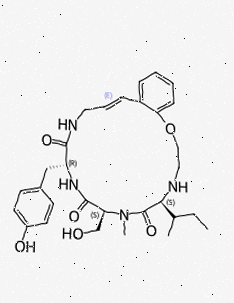 CCC(C)[C@@H]1NCCOc2ccccc2/C=C/CNC(=O)[C@@H](Cc2ccc(O)cc2)NC(=O)[C@H](CO)N(C)C1=O